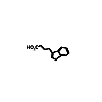 O=C(O)CCCc1csc2ccccc12